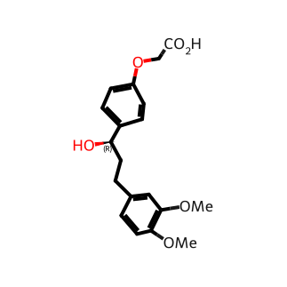 COc1ccc(CC[C@@H](O)c2ccc(OCC(=O)O)cc2)cc1OC